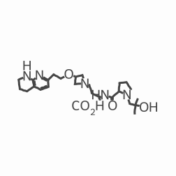 CC(C)(O)CN1CCCC1C(=O)NC(CCN1CC(OCCc2ccc3c(n2)NCCC3)C1)C(=O)O